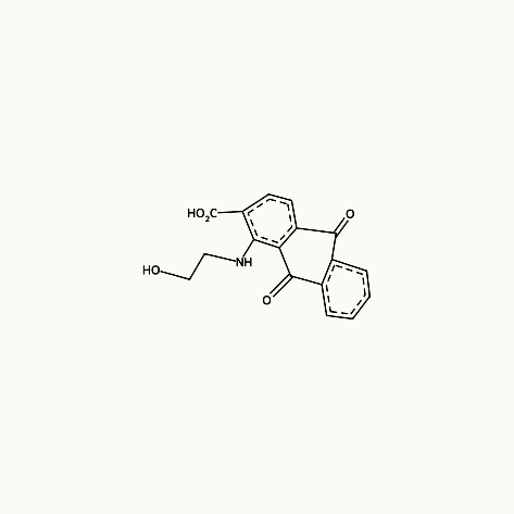 O=C(O)c1ccc2c(c1NCCO)C(=O)c1ccccc1C2=O